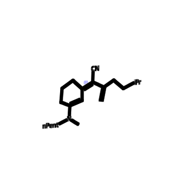 C=C(CCC(C)C)/C(C#N)=C1\C=C(N(C)CCCCC)CCC1